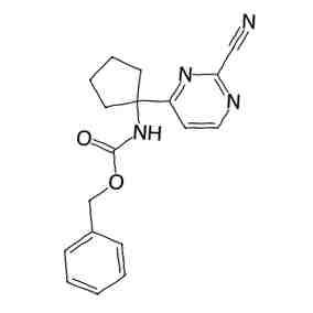 N#Cc1nccc(C2(NC(=O)OCc3ccccc3)CCCC2)n1